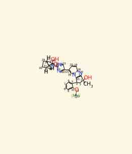 C[C@@]1(O)CC(c2ccccc2OC(F)F)c2c1nc1ccc(-c3cnc(N4C[C@H]5CC[C@@H](C4)[C@H]5C(=O)O)nc3)cn21